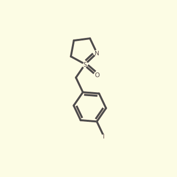 O=S1(Cc2ccc(I)cc2)=NCCC1